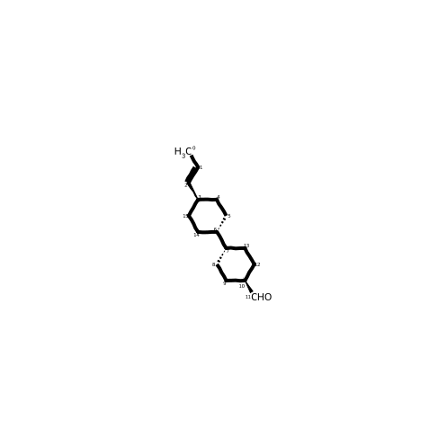 CC=C[C@H]1CC[C@H]([C@H]2CC[C@H](C=O)CC2)CC1